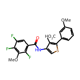 COc1cccc(-c2scc(NC(=O)c3cc(F)c(F)c(OC)c3F)c2C(=O)O)c1